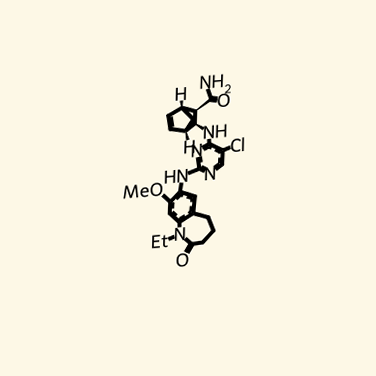 CCN1C(=O)CCCc2cc(Nc3ncc(Cl)c(N[C@@H]4[C@H](C(N)=O)[C@H]5C=C[C@@H]4C5)n3)c(OC)cc21